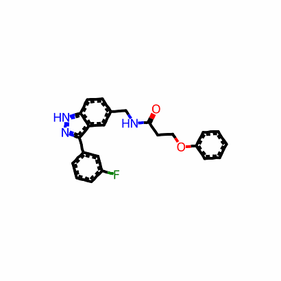 O=C(CCOc1ccccc1)NCc1ccc2[nH]nc(-c3cccc(F)c3)c2c1